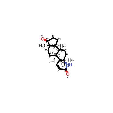 C[C@]12C=CC(=O)N[C@@H]1CC[C@@H]1[C@@H]2CC[C@]2(C)C(=O)CC[C@@H]12